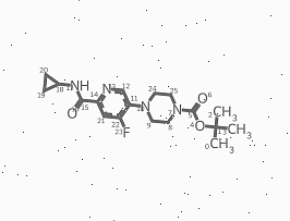 CC(C)(C)OC(=O)N1CCN(c2cnc(C(=O)NC3CC3)cc2F)CC1